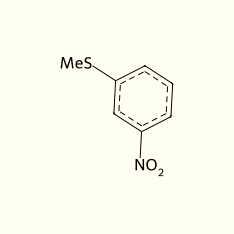 CSc1cccc([N+](=O)[O-])c1